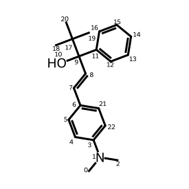 CN(C)c1ccc(/C=C/C(O)(c2ccccc2)C(C)(C)C)cc1